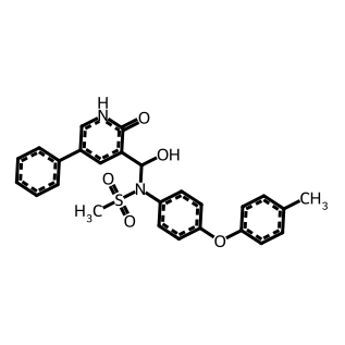 Cc1ccc(Oc2ccc(N(C(O)c3cc(-c4ccccc4)c[nH]c3=O)S(C)(=O)=O)cc2)cc1